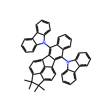 CC1(C)c2ccc3c4c(ccc(c24)C1(C)C)-c1c-3c(-n2c3ccccc3c3ccccc32)c2ccccc2c1-n1c2ccccc2c2ccccc21